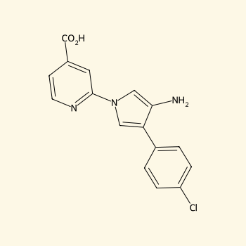 Nc1cn(-c2cc(C(=O)O)ccn2)cc1-c1ccc(Cl)cc1